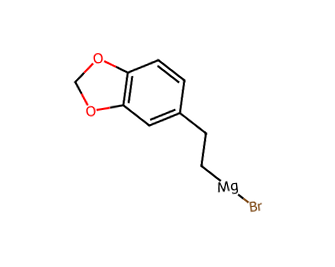 [Br][Mg][CH2]Cc1ccc2c(c1)OCO2